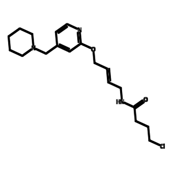 O=C(CCCCl)NCC=CCOc1cc(CN2CCCCC2)ccn1